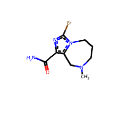 CN1CCCn2c(Br)nc(C(N)=O)c2C1